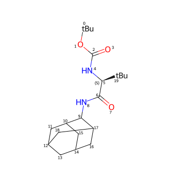 CC(C)(C)OC(=O)N[C@H](C(=O)NC1C2CC3CC(C2)CC1C3)C(C)(C)C